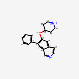 c1ccc(-c2cc3cnccc3cc2OC2CCNCC2)cc1